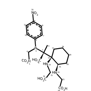 C[C@@](C(=O)O)(N(CC(=O)O)c1ccc([N+](=O)[O-])cc1)[C@]1(NCC(=O)O)CCCC[C@H]1NCC(=O)O